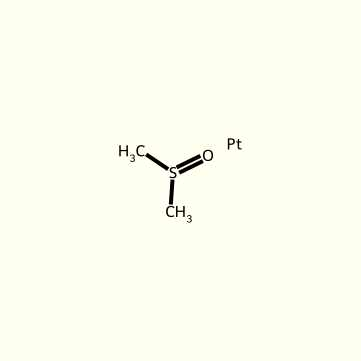 CS(C)=O.[Pt]